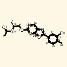 CC(=O)N[C@@H](C)COc1ncc2nc(-c3ccc(C)c(F)c3)oc2n1